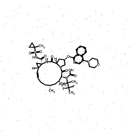 C[C@@H]1CC/C=C\[C@@H]2C[C@@]2(C(=O)NS(=O)(=O)C2(C)CC2)NC(=O)[C@@H]2C[C@@H](Oc3ncc(N4CCOCC4)c4ccccc34)CN2C(=O)[C@@H](N(C(=O)O)C(C)(C)C(C)(F)F)[C@H](C)C1